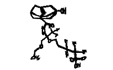 CCOCC(OCCC(F)(F)C(F)(F)S(=O)(=O)O)(OC(=O)C12CC3CC(CC(O)(C3)C1)C2)C(F)(F)F